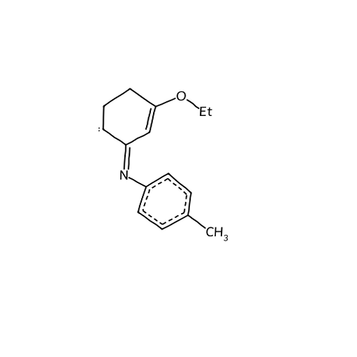 CCOC1=C/C(=N\c2ccc(C)cc2)[C]CC1